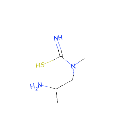 CC(N)CN(C)C(=N)S